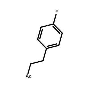 CC(=O)CCc1ccc(F)cc1